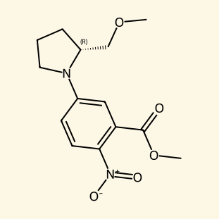 COC[C@H]1CCCN1c1ccc([N+](=O)[O-])c(C(=O)OC)c1